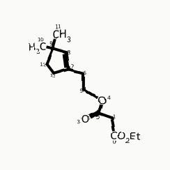 CCOC(=O)CC(=O)OCCC1=CC(C)(C)CC1